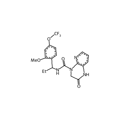 CCC(NC(=O)N1CC(=O)Nc2cccnc21)c1ccc(OC(F)(F)F)cc1OC